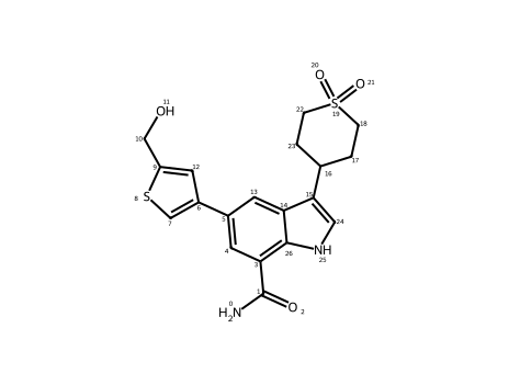 NC(=O)c1cc(-c2csc(CO)c2)cc2c(C3CCS(=O)(=O)CC3)c[nH]c12